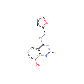 Cc1nc(NCc2ccco2)c2cccc(O)c2n1